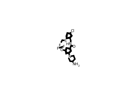 CCSc1ccc(Cl)cc1CNC(=O)c1cc(OC(F)(F)F)cc(N2CCC(N)CC2)c1